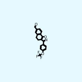 O=Cc1ccc2c(c1)CCc1c(-c3ccc(OC(F)(F)F)cc3)noc1-2